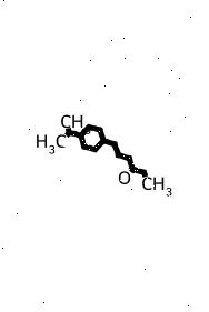 CCC(=O)CCCC1CCC(C(C)C)CC1